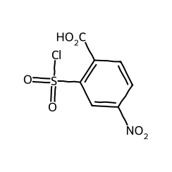 O=C(O)c1ccc([N+](=O)[O-])cc1S(=O)(=O)Cl